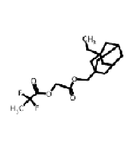 CCC12CC3CC(C1)CC(COC(=O)COC(=O)C(C)(F)F)(C3)C2